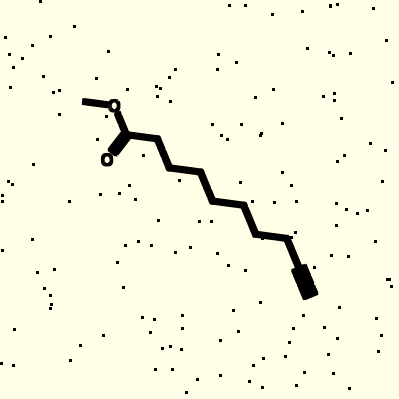 C#CCCCCCCCC(=O)OC